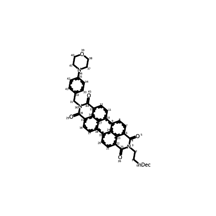 CCCCCCCCCCCCN1C(=O)c2ccc3c4ccc5c6c(ccc(c7ccc(c2c37)C1=O)c64)C(=O)N(Cc1ccc(N2CCOCC2)cc1)C5=O